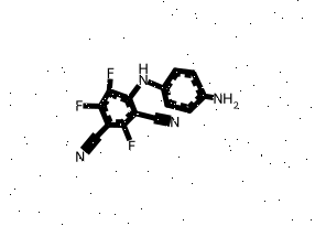 N#Cc1c(F)c(F)c(Nc2ccc(N)cc2)c(C#N)c1F